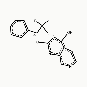 Oc1nc(O[C@H](c2ccccc2)C(F)(F)F)nc2cnccc12